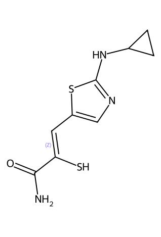 NC(=O)/C(S)=C/c1cnc(NC2CC2)s1